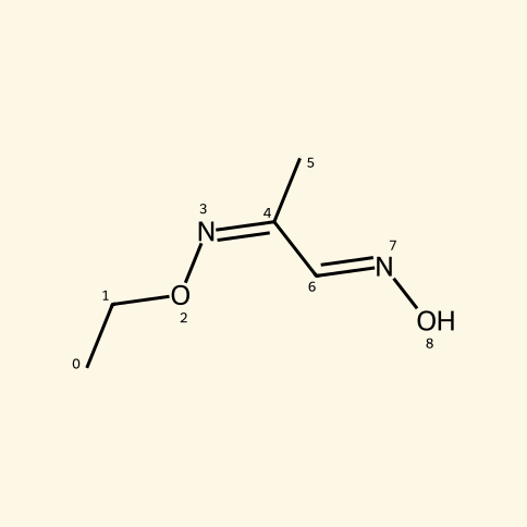 CCON=C(C)C=NO